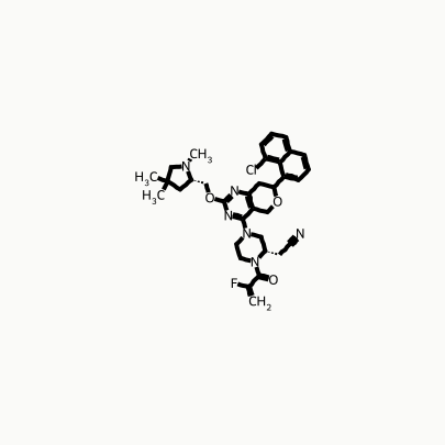 C=C(F)C(=O)N1CCN(c2nc(OC[C@@H]3CC(C)(C)CN3C)nc3c2COC(c2cccc4cccc(Cl)c24)C3)C[C@@H]1CC#N